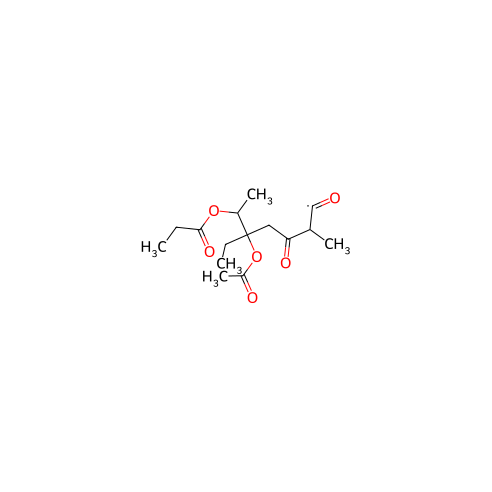 CCC(=O)OC(C)C(CC)(CC(=O)C(C)[C]=O)OC(C)=O